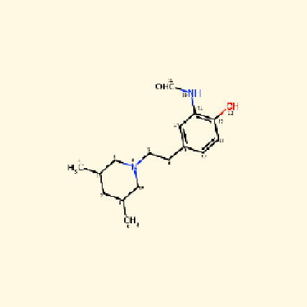 CC1CC(C)CN(CCc2ccc(O)c(NC=O)c2)C1